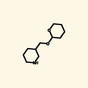 C1CCC(OCC2CCCNC2)OC1